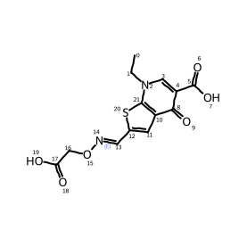 CCn1cc(C(=O)O)c(=O)c2cc(/C=N/OCC(=O)O)sc21